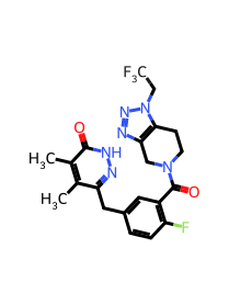 Cc1c(Cc2ccc(F)c(C(=O)N3CCc4c(nnn4CC(F)(F)F)C3)c2)n[nH]c(=O)c1C